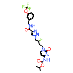 CC(C)OC(=O)Nc1ccn(CCC(F)Cn2cc(C(=O)NCc3cccc(OC(F)(F)F)c3)nn2)c(=O)n1